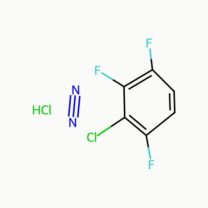 Cl.Fc1ccc(F)c(Cl)c1F.N#N